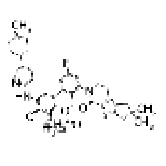 CC(=O)OCc1c(-c2cc(Nc3ccc(C4CCN(C)CC4)cn3)c(=O)n(C)c2)cc(F)cc1N1CCc2c(sc3c2CC(C)(C)C3)C1=O